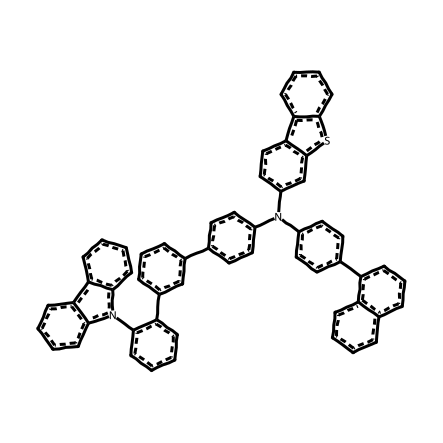 c1cc(-c2ccc(N(c3ccc(-c4cccc5ccccc45)cc3)c3ccc4c(c3)sc3ccccc34)cc2)cc(-c2ccccc2-n2c3ccccc3c3ccccc32)c1